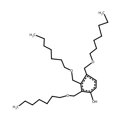 CCCCCCCOCc1ccc(O)c(COCCCCCCC)c1COCCCCCCC